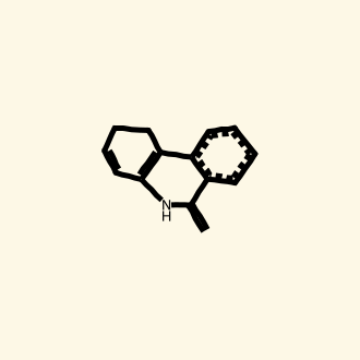 C=C1NC2=C(CCC=C2)c2ccccc21